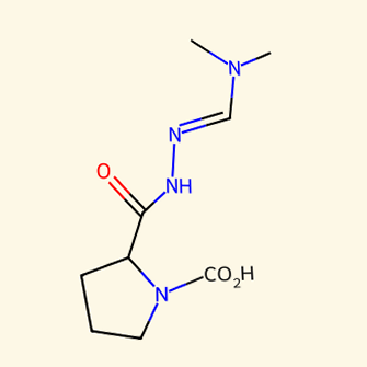 CN(C)C=NNC(=O)C1CCCN1C(=O)O